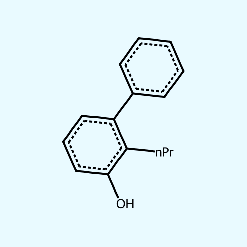 CCCc1c(O)cccc1-c1ccccc1